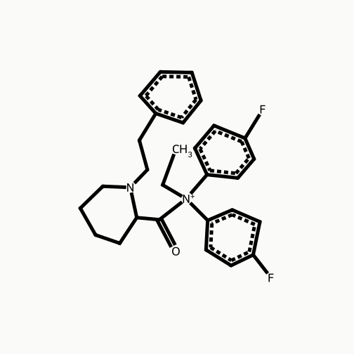 CC[N+](C(=O)C1CCCCN1CCc1ccccc1)(c1ccc(F)cc1)c1ccc(F)cc1